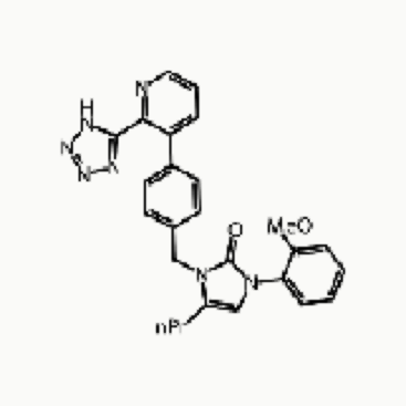 CCCc1cn(-c2ccccc2OC)c(=O)n1Cc1ccc(-c2cccnc2-c2nnn[nH]2)cc1